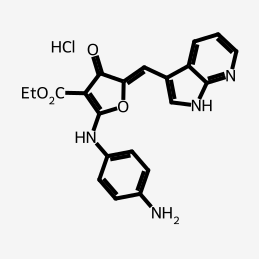 CCOC(=O)C1=C(Nc2ccc(N)cc2)OC(=Cc2c[nH]c3ncccc23)C1=O.Cl